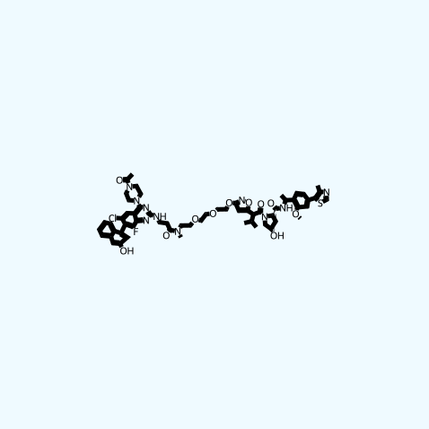 COc1cc(-c2scnc2C)ccc1C(C)NC(=O)[C@@H]1C[C@@H](O)CN1C(=O)C(c1cc(OCCOCCOCCN(C)C(=O)CCNc2nc(N3CCN(C(C)=O)CC3)c3cc(Cl)c(-c4cc(O)cc5ccccc45)c(F)c3n2)no1)C(C)C